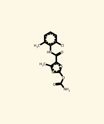 Cc1cccc(Cl)c1NC(=O)c1sc(OC(N)=O)nc1C